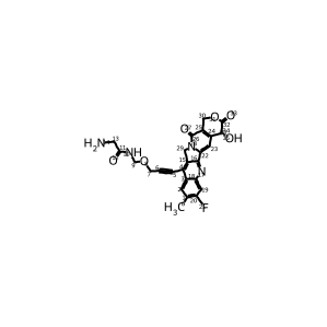 Cc1cc2c(C#CCOCNC(=O)CN)c3c(nc2cc1F)-c1cc2c(c(=O)n1C3)COC(=O)[C@H]2O